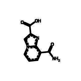 NC(=O)c1cccn2cc(C(=O)O)nc12